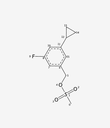 CS(=O)(=O)OCc1cc(F)cc(C2CC2)c1